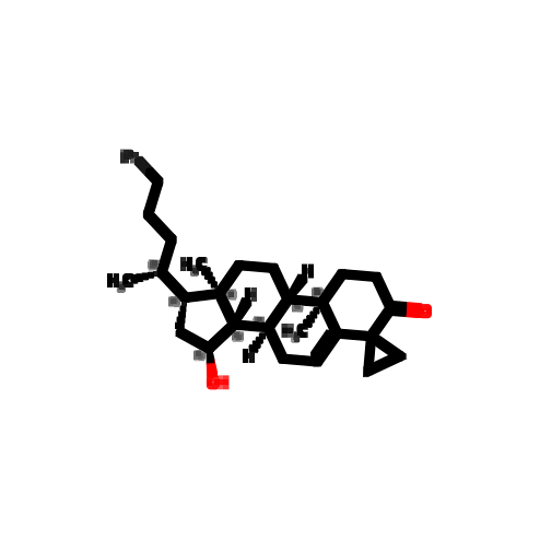 CC(C)CCC[C@@H](C)[C@H]1C[C@H](O)[C@H]2[C@@H]3CC=C4C5(CC5)C(=O)CC[C@]4(C)[C@H]3CC[C@@]21C